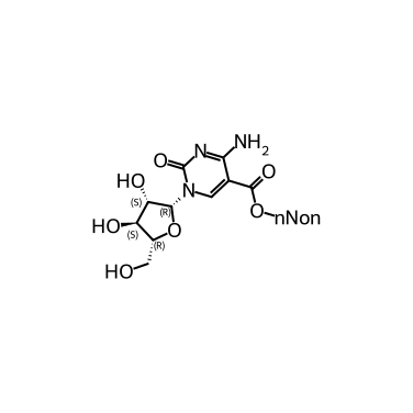 CCCCCCCCCOC(=O)c1cn([C@@H]2O[C@H](CO)[C@@H](O)[C@@H]2O)c(=O)nc1N